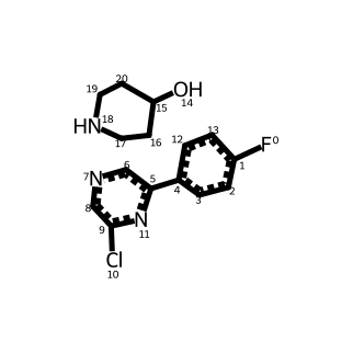 Fc1ccc(-c2cncc(Cl)n2)cc1.OC1CCNCC1